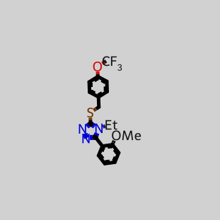 CCn1c(SCc2ccc(OC(F)(F)F)cc2)nnc1-c1ccccc1OC